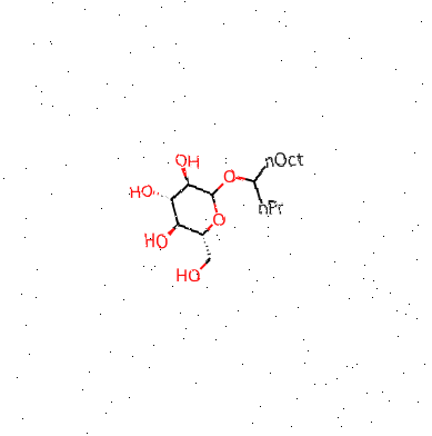 CCCCCCCCC(CCC)OC1O[C@H](CO)[C@@H](O)[C@H](O)[C@H]1O